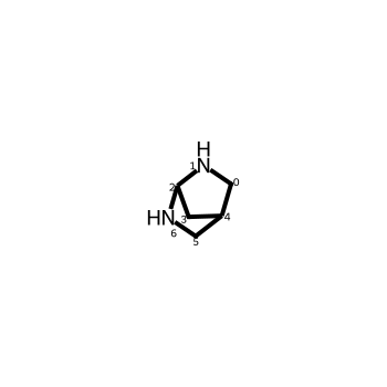 C1NC2CC1CN2